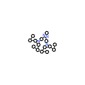 c1ccc(-c2ccccc2-c2ccc3c(c2)c2cc(-c4ccccc4-c4ccccc4)ccc2n3-c2ccc(-c3nc4ccccc4nc3-c3ccc(-n4c5ccc(-c6ccccc6-c6ccccc6)cc5c5cc(-c6ccccc6-c6ccccc6)ccc54)cc3)cc2)cc1